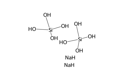 O[Si](O)(O)O.O[Si](O)(O)O.[NaH].[NaH]